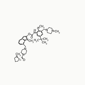 COc1c(CN2CCN(C)CC2)cc(C(C)(C)C)cc1NC(=O)Oc1cc2cccc(CN3CCN(C(=O)[C@@H]4CCCN4C)CC3)c2n1C